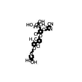 Cc1c(COc2cc(OCc3cncc(C#N)c3)c(CNC(C)(CO)C(=O)O)cc2Cl)cccc1-c1cccc(OCCCN2CCC(O)(CO)CC2)c1Cl